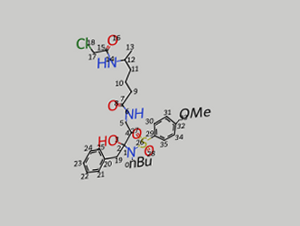 CCCCN(C(O)(CCNC(=O)CCCC(C)NC(=O)CCl)Cc1ccccc1)S(=O)(=O)c1ccc(OC)cc1